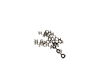 C=C(OCC)c1c(C2CCCCC2)nc2c(-c3ccc(-c4ccccc4)nc3)cnn2c1N(COCC[Si](C)(C)C)COCC[Si](C)(C)C